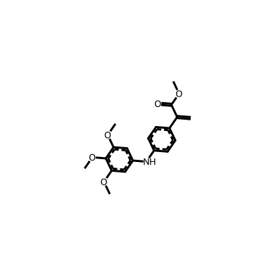 C=C(C(=O)OC)c1ccc(Nc2cc(OC)c(OC)c(OC)c2)cc1